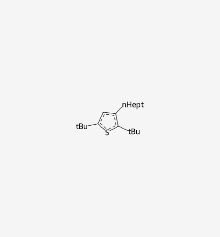 CCCCCCCc1cc(C(C)(C)C)sc1C(C)(C)C